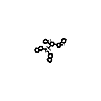 c1ccc2cc(-c3nc(-c4ccc5ccccc5c4)nc(-c4cc(-c5ccc6oc7ccccc7c6c5)cc5oc6ccccc6c45)n3)ccc2c1